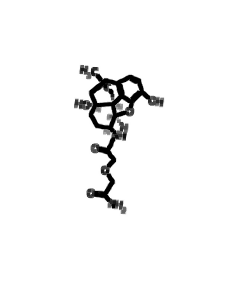 CN1CC[C@]23c4c5ccc(O)c4O[C@H]2[C@@H](NC(=O)COCC(N)=O)CC[C@@]3(O)C1C5